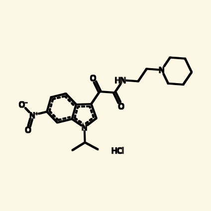 CC(C)n1cc(C(=O)C(=O)NCCN2CCCCC2)c2ccc([N+](=O)[O-])cc21.Cl